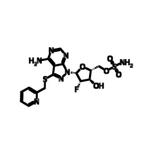 Nc1ncnc2c1c(SCc1ccccn1)nn2[C@@H]1O[C@H](COS(N)(=O)=O)[C@@H](O)[C@@H]1F